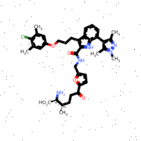 Cc1cc(OCCCc2c(C(=O)NCc3ccc(C(=O)CC[C@H](C)[C@H](N)C(=O)O)o3)[nH]c3c(-c4c(C)nn(C)c4C)cccc23)cc(C)c1Cl